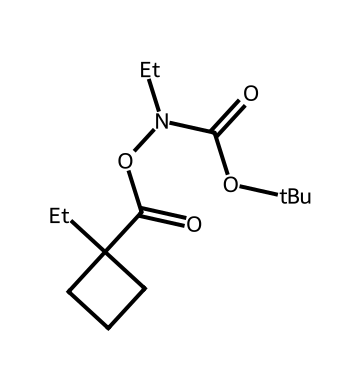 CCN(OC(=O)C1(CC)CCC1)C(=O)OC(C)(C)C